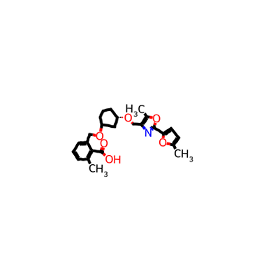 Cc1ccc(-c2nc(CO[C@H]3CCCC(OCc4cccc(C)c4C(=O)O)C3)c(C)o2)o1